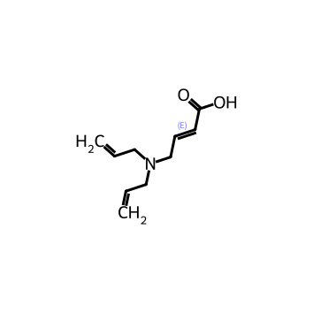 C=CCN(CC=C)C/C=C/C(=O)O